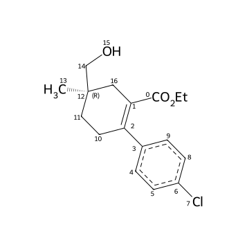 CCOC(=O)C1=C(c2ccc(Cl)cc2)CC[C@@](C)(CO)C1